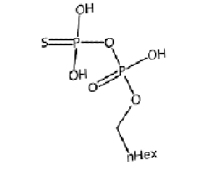 CCCCCCCOP(=O)(O)OP(O)(O)=S